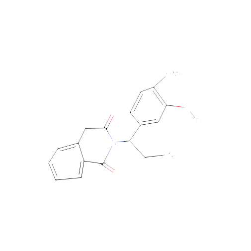 CCOc1cc(C(CC#N)N2C(=O)Cc3ccccc3C2=O)ccc1OC